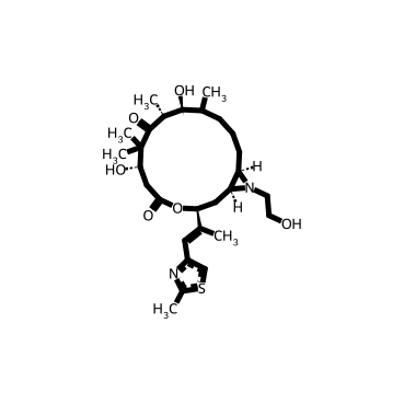 C/C(=C\c1csc(C)n1)[C@@H]1C[C@H]2[C@@H](CCCC(C)[C@H](O)[C@@H](C)C(=O)C(C)(C)[C@@H](O)CC(=O)O1)N2CCO